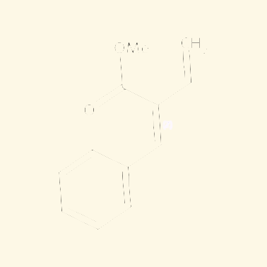 C=C/C(=C/c1ccccc1)C(=O)OC